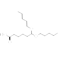 CCCCCOC(CCCCC(=O)O)OCCCCC